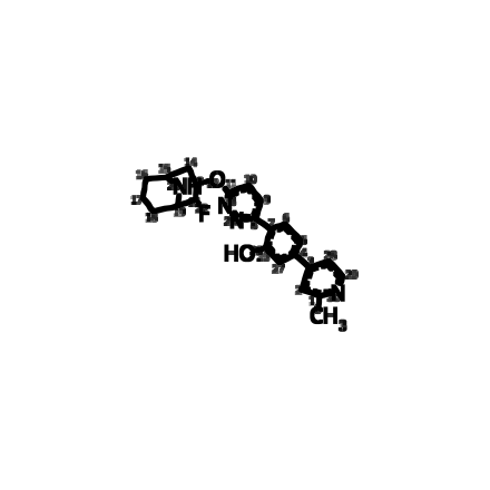 Cc1cc(-c2ccc(-c3ccc(O[C@@H]4CC5CCCC(N5)[C@@H]4F)nn3)c(O)c2)ccn1